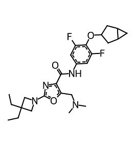 CCC1(CC)CN(c2nc(C(=O)Nc3cc(F)c(OC4CC5CC5C4)c(F)c3)c(CN(C)C)o2)C1